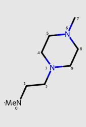 C[N]CCN1CCN(C)CC1